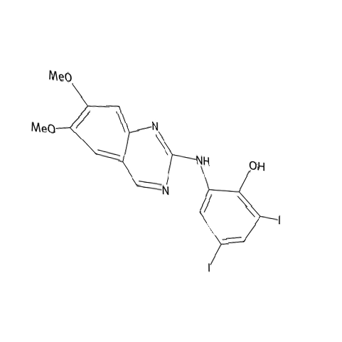 COc1cc2cnc(Nc3cc(I)cc(I)c3O)nc2cc1OC